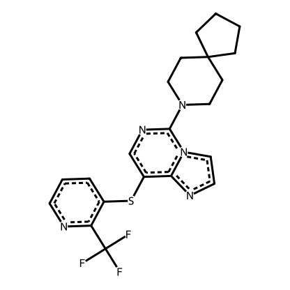 FC(F)(F)c1ncccc1Sc1cnc(N2CCC3(CCCC3)CC2)n2ccnc12